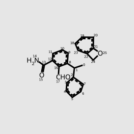 CC(c1ccccc1)c1cccc(C(N)=O)c1C=O.c1ccc2c(c1)CO2